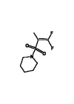 CC(=C(F)F)S(=O)(=O)N1CCCCC1